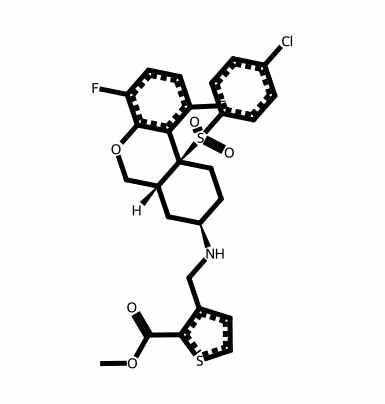 COC(=O)c1sccc1CN[C@@H]1CC[C@@]2(S(=O)(=O)c3ccc(Cl)cc3)c3c(F)ccc(F)c3OC[C@H]2C1